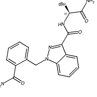 CC(C)(C)[C@H](NC(=O)c1nn(Cc2ccccc2C(N)=O)c2ccccc12)C(N)=O